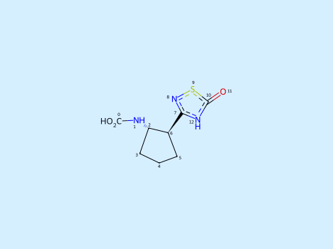 O=C(O)N[C@H]1CCC[C@@H]1c1nsc(=O)[nH]1